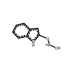 OBOc1cc2ccccc2[nH]1